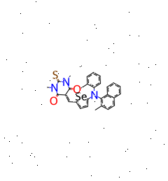 Cc1ccccc1N(c1ccc(C=C2C(=O)N(C)C(=S)N(C)C2=O)[se]1)c1c(C)ccc2ccccc12